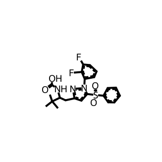 CC(C)(C)C(Cc1cc(S(=O)(=O)c2ccccc2)n(-c2cccc(F)c2F)n1)NC(=O)O